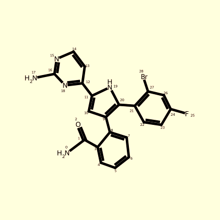 NC(=O)c1ccccc1-c1cc(-c2ccnc(N)n2)[nH]c1-c1ccc(F)cc1Br